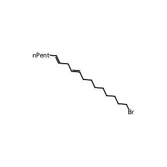 CCCCCC=CCC=CCCCCCCCCBr